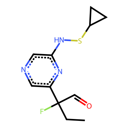 CCC(F)(C=O)c1cncc(NSC2CC2)n1